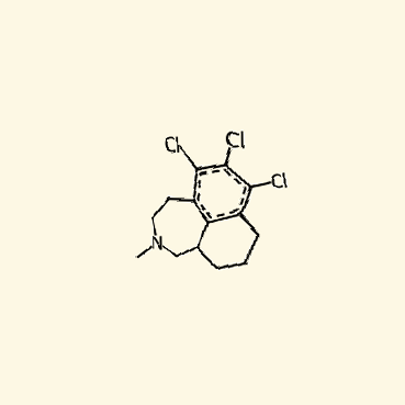 CN1CCc2c(Cl)c(Cl)c(Cl)c3c2C(CCC3)C1